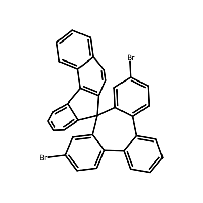 Brc1ccc2c(c1)C1(c3cc(Br)ccc3-c3ccccc3-2)c2ccccc2-c2c1ccc1ccccc21